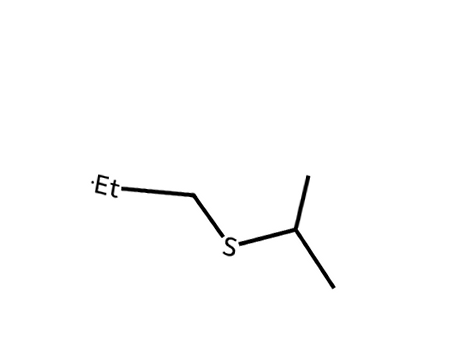 C[CH]CSC(C)C